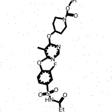 CCC(=O)NS(=O)(=O)c1ccc(Oc2ncnc(OC3CCN(C(=O)OC(C)C)CC3)c2C)c(F)c1